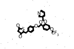 O=C1CC(=O)C(Cc2ccc(OCC(OC(=O)c3cccnc3)c3ccc(OC(F)(F)F)cc3)cc2)S1